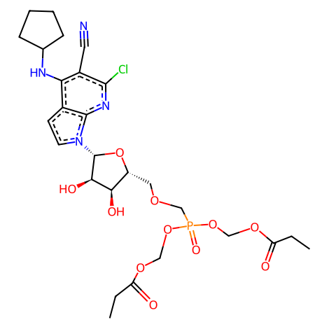 CCC(=O)OCOP(=O)(COC[C@H]1O[C@@H](n2ccc3c(NC4CCCC4)c(C#N)c(Cl)nc32)[C@H](O)[C@@H]1O)OCOC(=O)CC